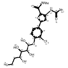 CNC(=O)c1sc(-c2ccc(OC(O)C(O)C(O)C(O)CCO)c(C(F)(F)F)c2)cc1NC(N)=O